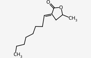 CCCCCCC/C=C1\CC(C)OC1=O